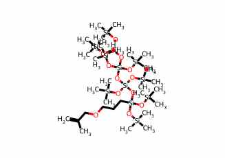 C=C(C)COCCC[Si](O[Si](C)(C)C)(O[Si](C)(C)C)O[Si](O[Si](C)(C)C)(O[Si](C)(C)C)O[Si](O[SiH](O[Si](C)(C)C)O[Si](C)(C)C)(O[Si](C)(C)C)O[Si](C)(C)C